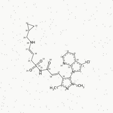 Cc1nn(C)c(-n2cc(Cl)c3cccnc32)c1/C=C/C(=O)NS(=O)(=O)CC=CNCC1CC1